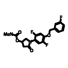 CNC(=O)OC1CC(=O)N(c2cc(F)c(OCc3cccc(F)c3)cc2F)C1